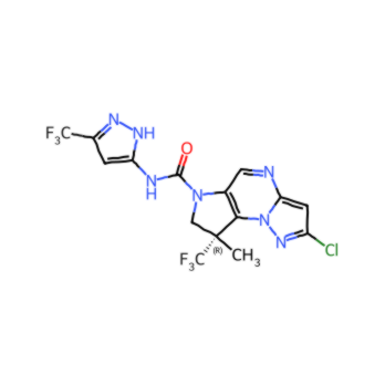 C[C@@]1(C(F)(F)F)CN(C(=O)Nc2cc(C(F)(F)F)n[nH]2)c2cnc3cc(Cl)nn3c21